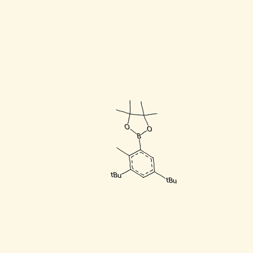 Cc1c(B2OC(C)(C)C(C)(C)O2)cc(C(C)(C)C)cc1C(C)(C)C